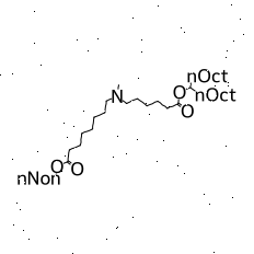 CCCCCCCCCOC(=O)CCCCCCCN(C)CCCCCC(=O)OC(CCCCCCCC)CCCCCCCC